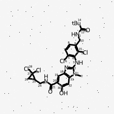 Cn1c(Nc2c(Cl)ccc(CNC(=O)C(C)(C)C)c2Cl)nc2cc(C(=O)NCC3CC3(Cl)Cl)c(O)cc21